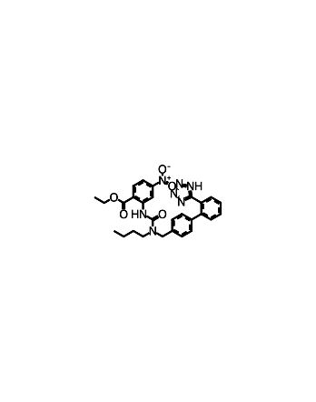 CCCCN(Cc1ccc(-c2ccccc2-c2nnn[nH]2)cc1)C(=O)Nc1cc([N+](=O)[O-])ccc1C(=O)OCC